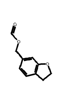 O=COCc1ccc2c(c1)OCC2